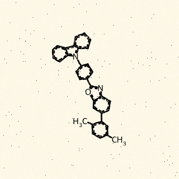 Cc1ccc(C)c(-c2ccc3nc(-c4ccc(-n5c6ccccc6c6ccccc65)cc4)oc3c2)c1